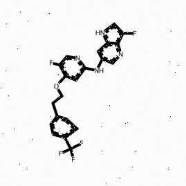 Fc1cnc(Nc2cnc3c(F)c[nH]c3c2)cc1OCCc1ccc(C(F)(F)F)cc1